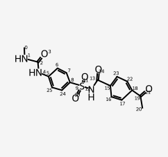 CNC(=O)Nc1ccc(S(=O)(=O)NC(=O)c2ccc(C(C)=O)cc2)cc1